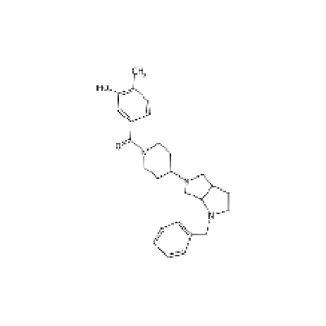 Cc1ccc(C(=O)N2CCC(N3CC4CCN(Cc5ccccc5)C4C3)CC2)cc1O